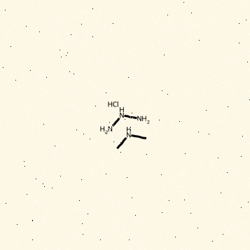 CNC.Cl.NNN